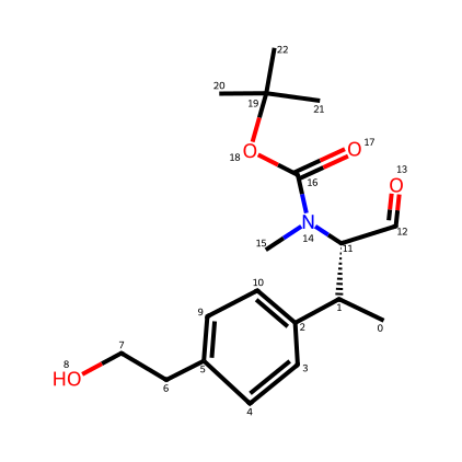 CC(c1ccc(CCO)cc1)[C@@H](C=O)N(C)C(=O)OC(C)(C)C